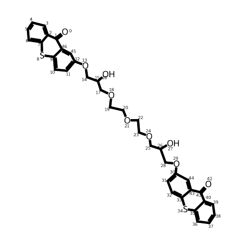 O=c1c2ccccc2sc2ccc(OCC(O)COCCOCCOCC(O)COc3ccc4sc5ccccc5c(=O)c4c3)cc12